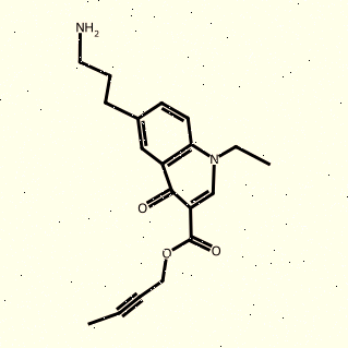 CC#CCOC(=O)c1cn(CC)c2ccc(CCCN)cc2c1=O